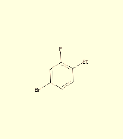 CCc1ccc(Br)cc1F